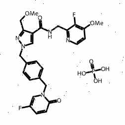 COCc1nn(Cc2ccc(Cn3cc(F)ccc3=O)cc2)cc1C(=O)NCc1nccc(OC)c1F.O=P(O)(O)O